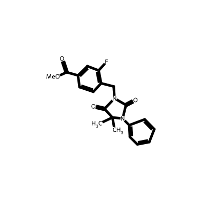 COC(=O)c1ccc(CN2C(=O)N(c3ccccc3)C(C)(C)C2=O)c(F)c1